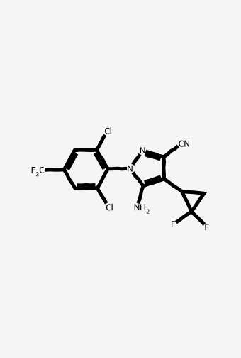 N#Cc1nn(-c2c(Cl)cc(C(F)(F)F)cc2Cl)c(N)c1C1CC1(F)F